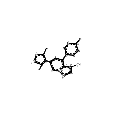 Cc1noc(C)c1-c1cc(-c2ccc(F)nc2)c2c(C#N)cnn2c1